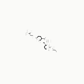 CCC(=O)Nc1nccc(C(=O)NC(C)c2ccc(OCCC(F)(F)F)nc2)n1